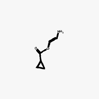 NC=COC(=O)C1CC1